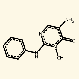 Cn1c(Nc2ccccc2)ncc(N)c1=O